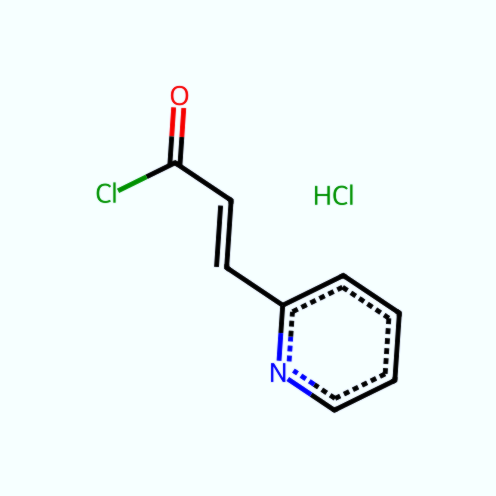 Cl.O=C(Cl)/C=C/c1ccccn1